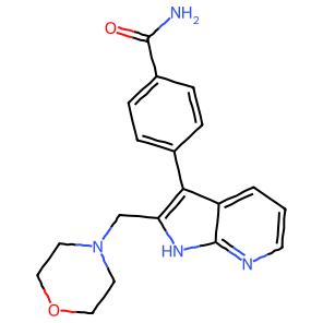 NC(=O)c1ccc(-c2c(CN3CCOCC3)[nH]c3ncccc23)cc1